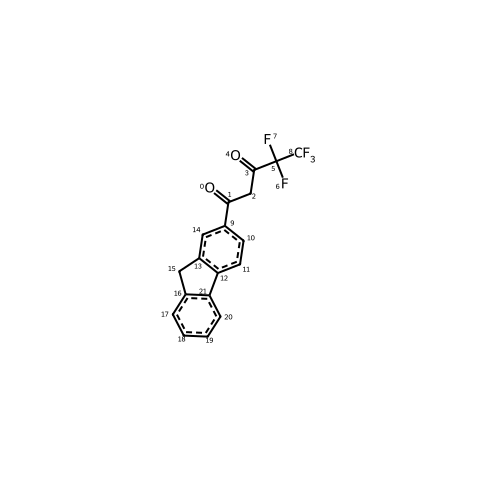 O=C(CC(=O)C(F)(F)C(F)(F)F)c1ccc2c(c1)Cc1ccccc1-2